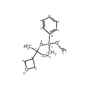 CC(C)O[Si](C)(OC(C)(C)C1COC1)c1ccccc1